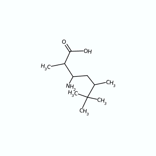 CC(C(=O)O)C(N)CC(C)C(C)(C)C